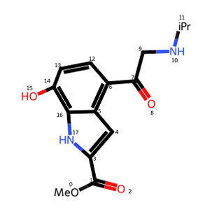 COC(=O)c1cc2c(C(=O)CNC(C)C)ccc(O)c2[nH]1